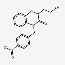 O=C1C(CCO)Oc2ccccc2N1Cc1ccc([N+](=O)[O-])cc1